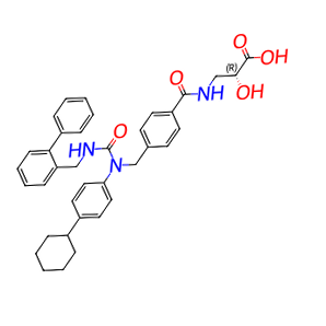 O=C(NC[C@@H](O)C(=O)O)c1ccc(CN(C(=O)NCc2ccccc2-c2ccccc2)c2ccc(C3CCCCC3)cc2)cc1